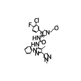 COCCN1C[C@H](NC(=O)Nc2c(C)c(-c3cnn(C)c3)nn2-c2ccccc2)[C@@H](c2ccc(F)c(Cl)c2)C1